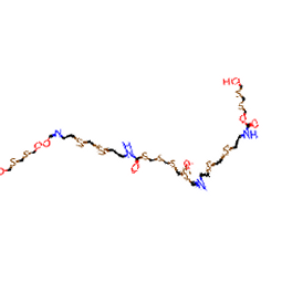 O=C(NCCSCSCC/N=C\[S+]([O-])CSCSCSC(=O)NCCSCSCC/N=C\OOCSCSCO)OCSCSCO